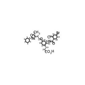 Cc1oc(-c2ccccc2)nc1CCOc1ccc(CCC(=O)O)c(CNC(=O)c2ccc(Br)cc2Cl)c1